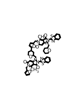 Cc1c2c(=O)n(-c3nc4ccccc4s3)n(CC3CC(c4ccc(Cn5c(C)c6c(=O)n(-c7nc8ccccc8s7)n(CC7CCCCO7)c6cc5=O)o4)CCO3)c2cc(=O)n1Cc1ccco1